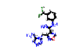 N=C(Nc1cccc(C(F)F)c1)c1nonc1Cn1nnnc1N